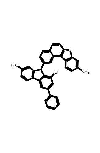 Cc1ccc2c(c1)sc1ccc3ccc(-n4c5cc(C)ccc5c5cc(-c6ccccc6)cc(Cl)c54)cc3c12